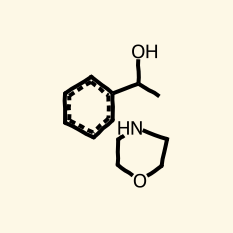 C1COCCN1.CC(O)c1ccccc1